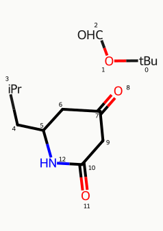 CC(C)(C)OC=O.CC(C)CC1CC(=O)CC(=O)N1